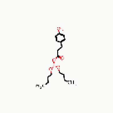 CCCCOB(OCCCC)OC(=O)CCc1ccc(O)cc1